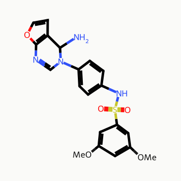 COc1cc(OC)cc(S(=O)(=O)Nc2ccc(N3C=Nc4occc4C3N)cc2)c1